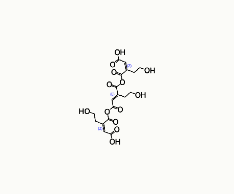 O=C(O)/C=C(/CCO)C(=O)OC(=O)/C=C(\CCO)C(=O)OC(=O)/C(=C\C(=O)O)CCO